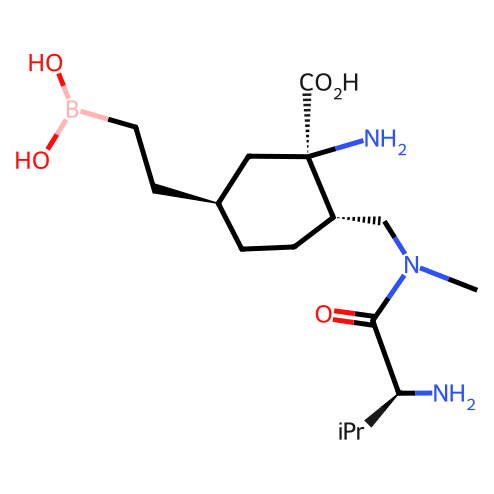 CC(C)[C@H](N)C(=O)N(C)C[C@@H]1CC[C@@H](CCB(O)O)C[C@]1(N)C(=O)O